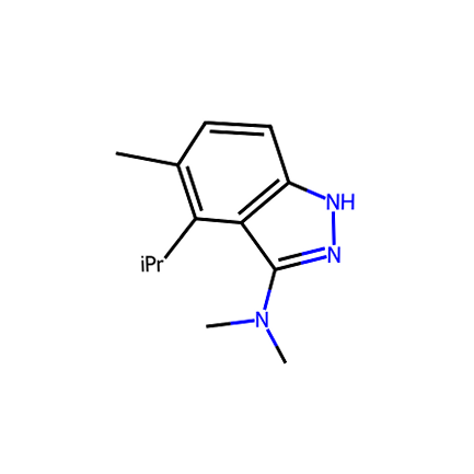 Cc1ccc2[nH]nc(N(C)C)c2c1C(C)C